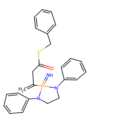 C=C(CC(=O)SCc1ccccc1)P1(=N)N(c2ccccc2)CCN1c1ccccc1